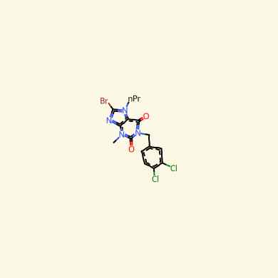 CCCn1c(Br)nc2c1c(=O)n(Cc1ccc(Cl)c(Cl)c1)c(=O)n2C